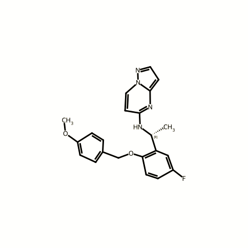 COc1ccc(COc2ccc(F)cc2[C@@H](C)Nc2ccn3nccc3n2)cc1